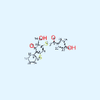 O=C(CSC1=Cc2sc3c(c2C(=O)C1CO)CCCC3)c1ccc(O)cc1